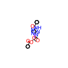 O=C(Nc1ncnc2c1ncn2[C@@H]1O[C@@]2(COC(=O)c3ccccc3)COC1C2I)c1ccccc1